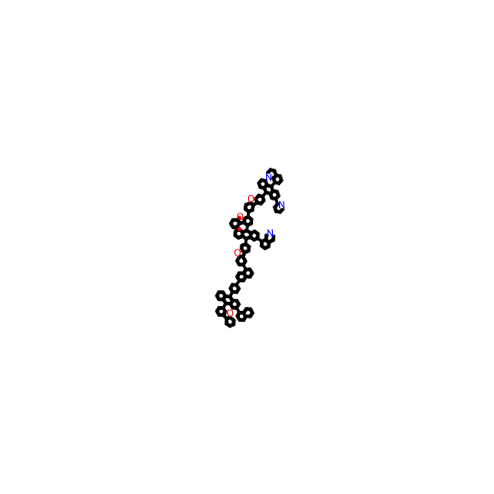 c1ccc(-c2ccc3c(-c4cccc5cccnc45)c4ccccc4c(-c4ccc5c(c4)oc4ccc(-c6ccc(-c7c8ccccc8c(-c8ccc9c(c8)oc8ccc(-c%10cccc%11cc(-c%12ccc(-c%13c%14ccccc%14c(-c%14cccc%15c%14oc%14ccccc%14%15)c%14cc(-c%15cccc%16ccccc%15%16)ccc%13%14)cc%12)ccc%10%11)cc89)c8cc(-c9cccc%10ccncc9%10)ccc78)c7c6oc6ccccc67)cc45)c3c2)nc1